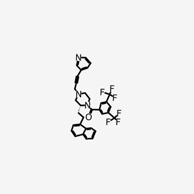 O=C(c1cc(C(F)(F)F)cc(C(F)(F)F)c1)N1CCN(CC#Cc2cccnc2)C[C@H]1CCc1cccc2ccccc12